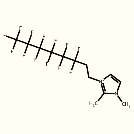 Cc1n(C)cc[n+]1CCC(F)(F)C(F)(F)C(F)(F)C(F)(F)C(F)(F)C(F)(F)F